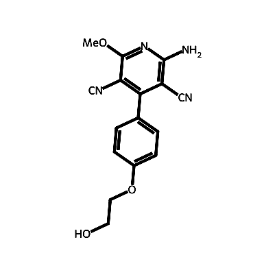 [C-]#[N+]c1c(OC)nc(N)c(C#N)c1-c1ccc(OCCO)cc1